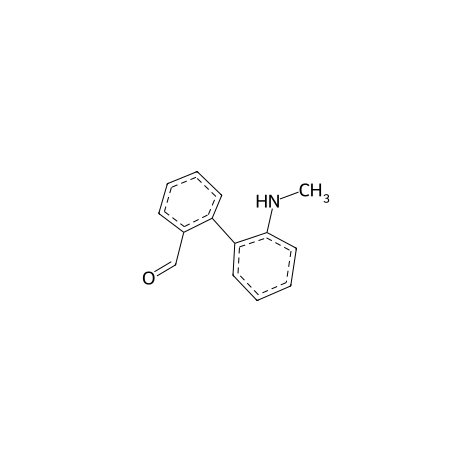 CNc1ccccc1-c1ccccc1C=O